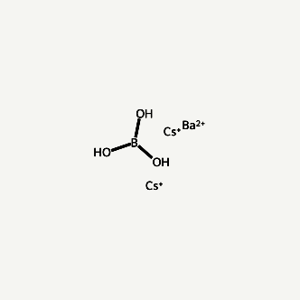 OB(O)O.[Ba+2].[Cs+].[Cs+]